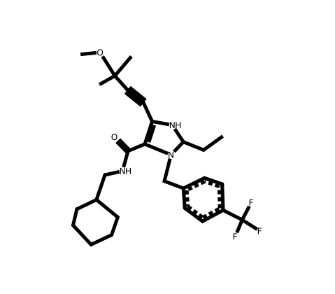 CCC1NC(C#CC(C)(C)OC)=C(C(=O)NCC2CCCCC2)N1Cc1ccc(C(F)(F)F)cc1